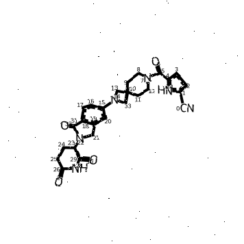 N#Cc1ccc(C(=O)N2CCC3(CC2)CN(c2ccc4c(c2)CN(C2CCC(=O)NC2=O)C4=O)C3)[nH]1